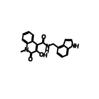 Cn1c(=O)c(O)c(C(=O)NCc2cccc3[nH]ccc23)c2ccccc21